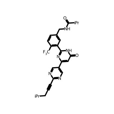 CC(C)CC#Cc1ncc(-c2cc(=O)[nH]c(-c3cc(CNC(=O)C(C)C)ccc3C(F)(F)F)n2)cn1